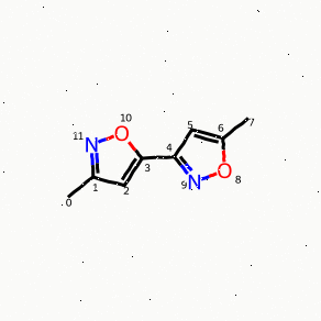 Cc1cc(-c2cc(C)on2)on1